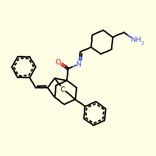 NCC1CCC(/C=N/C(=O)C23CC4CC(c5ccccc5)(CC2/C4=C\c2ccccc2)C3)CC1